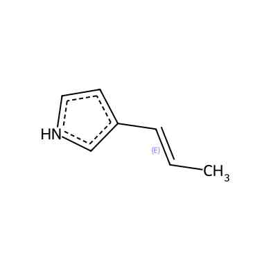 C/C=C/c1cc[nH]c1